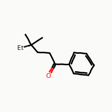 CCC(C)(C)CCC(=O)c1ccccc1